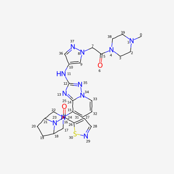 CN1CCN(C(=O)Cn2cc(Nc3nc4c(N5CC6CCC(C5)N6C(=O)c5ccns5)cccn4n3)cn2)CC1